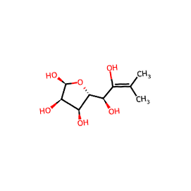 CC(C)=C(O)[C@@H](O)[C@H]1O[C@H](O)[C@H](O)[C@@H]1O